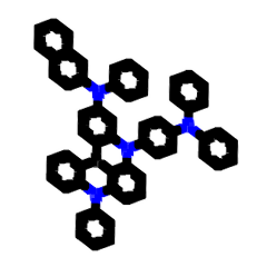 c1ccc(N(c2ccccc2)c2ccc(N3c4cc(N(c5ccccc5)c5ccc6ccccc6c5)ccc4B4c5ccccc5N(c5ccccc5)c5cccc3c54)cc2)cc1